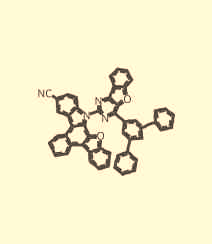 N#Cc1ccc2c(c1)c1c3ccccc3c3c4ccccc4oc3c1n2-c1nc(-c2cc(-c3ccccc3)cc(-c3ccccc3)c2)c2oc3ccccc3c2n1